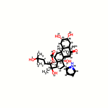 CC(C)(O)CCC(OC=O)[C@](C)(O)[C@H]1CC[C@@]2(O)C3=CC(=O)[C@@H]4C[C@@H](O)[C@@H](O)C[C@]4(C)[C@H]3CC[C@]12C.c1cc[nH]c1